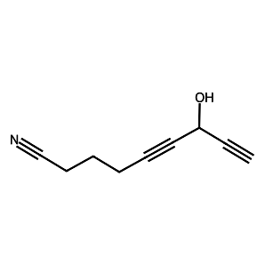 C#CC(O)C#CCCCC#N